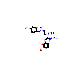 CCOc1cccc(/C=C(\C(=O)NN)N(C)CCN(C)Cc2ccc(C#N)cc2)c1O